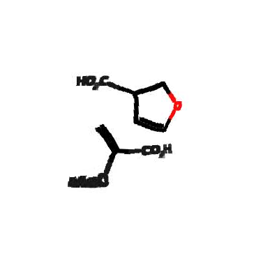 C=C(OC)C(=O)O.O=C(O)C1C=COC1